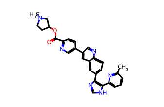 Cc1cccc(-c2[nH]cnc2-c2ccc3ncc(-c4ccc(C(=O)OC5CCN(C)C5)nc4)cc3c2)n1